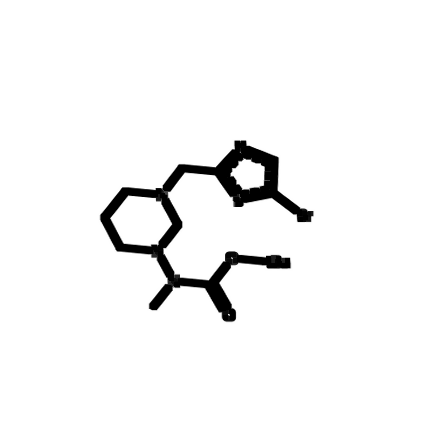 CN(C(=O)OC(C)(C)C)N1CCCN(Cc2ncc(Br)s2)C1